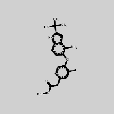 COC(=O)Cc1ccc(Oc2ccc3[nH]c(C(C)(C)C)cc3c2N)c(F)c1